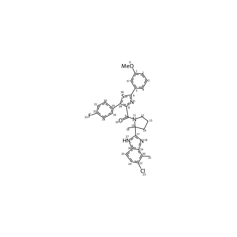 COc1cccc(-c2nc(C(=O)N3CCCC3(C)c3nc4c(C)c(Cl)ccc4[nH]3)c(-c3ccc(F)cc3)s2)c1